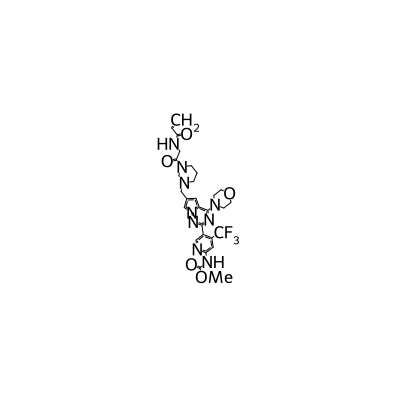 C=CC(=O)NCC(=O)N1CCCN(Cc2cc3c(N4CCOCC4)nc(-c4cnc(NC(=O)OC)cc4C(F)(F)F)nn3c2)C1